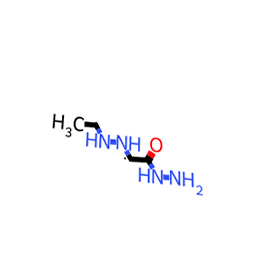 CCNN[CH]C(=O)NN